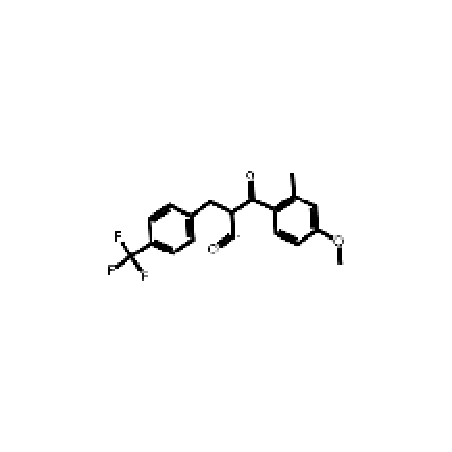 COc1ccc(C(=O)C([C]=O)Cc2ccc(C(F)(F)F)cc2)c(C)c1